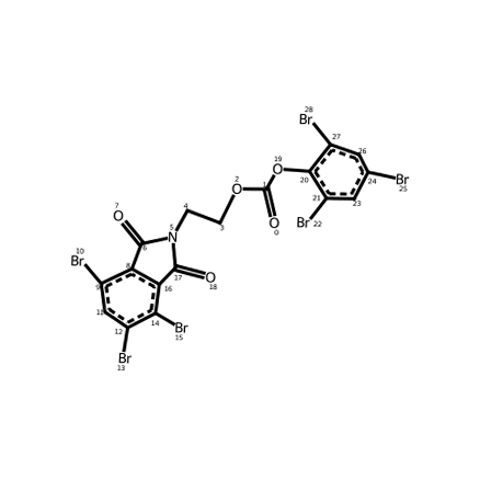 O=C(OCCN1C(=O)c2c(Br)cc(Br)c(Br)c2C1=O)Oc1c(Br)cc(Br)cc1Br